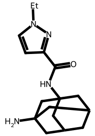 CCn1ccc(C(=O)NC23CC4CC(CC(N)(C4)C2)C3)n1